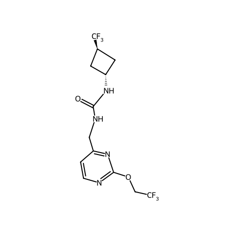 O=C(NCc1ccnc(OCC(F)(F)F)n1)N[C@H]1C[C@H](C(F)(F)F)C1